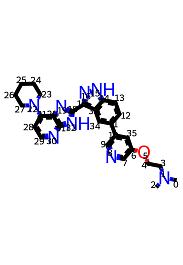 CN(C)CCOc1cncc(-c2ccc3[nH]nc(-c4nc5c(N6CCCCC6)ccnc5[nH]4)c3c2)c1